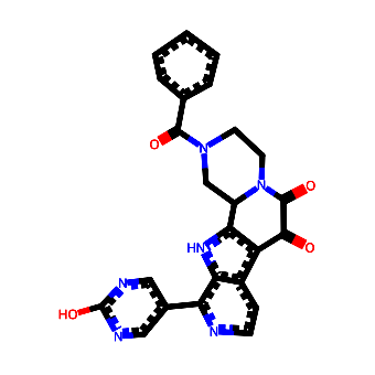 O=C1C(=O)N2CCN(C(=O)c3ccccc3)CC2c2[nH]c3c(-c4cnc(O)nc4)nccc3c21